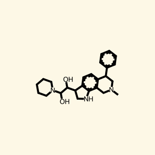 CN1Cc2c(ccc3c2NCC3C(O)C(O)N2CCCCC2)C(c2ccccc2)C1